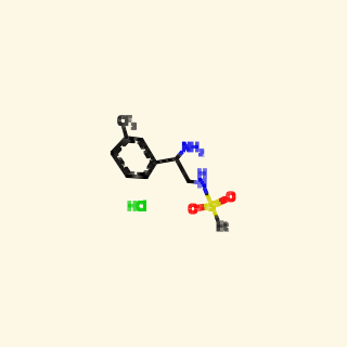 CCS(=O)(=O)NCC(N)c1cccc(C(F)(F)F)c1.Cl